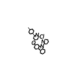 Cc1ccc(-c2cc(Oc3ccc4c5ccccc5n(-c5ccccn5)c4c3)cc(Cl)n2)cc1